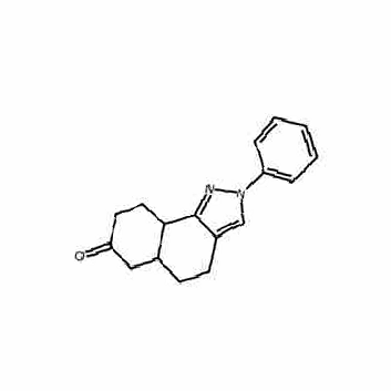 O=C1CCC2c3nn(-c4ccccc4)cc3CCC2C1